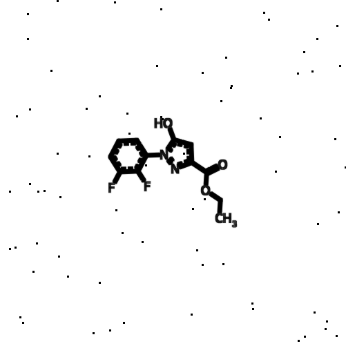 CCOC(=O)c1cc(O)n(-c2cccc(F)c2F)n1